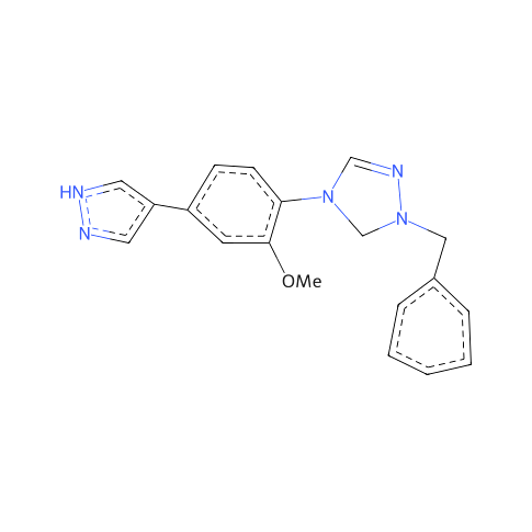 COc1cc(-c2cn[nH]c2)ccc1N1C=NN(Cc2ccccc2)C1